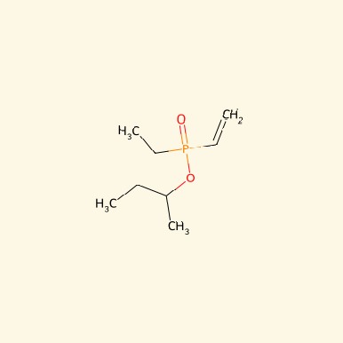 C=CP(=O)(CC)OC(C)CC